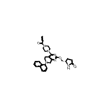 C=CC(=O)N1CCN(c2nc(OC[C@@H]3CCC(=O)N3)nc3c2CCN(c2cccc4ccccc24)C3)CC1